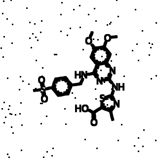 COc1cc2nc(Nc3nc(C)c(C(=O)O)s3)nc(NCc3ccc(S(C)(=O)=O)cc3)c2cc1OC